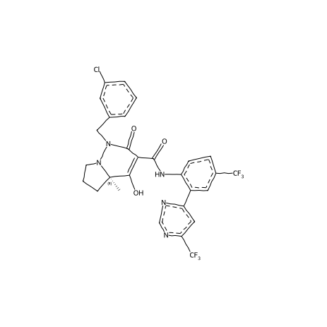 C[C@]12CCCN1N(Cc1cccc(Cl)c1)C(=O)C(C(=O)Nc1ccc(C(F)(F)F)cc1-c1cc(C(F)(F)F)ncn1)=C2O